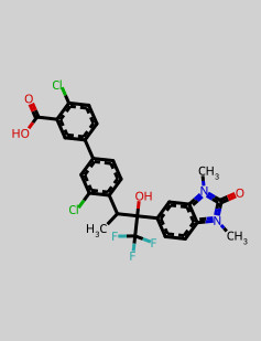 CC(c1ccc(-c2ccc(Cl)c(C(=O)O)c2)cc1Cl)C(O)(c1ccc2c(c1)n(C)c(=O)n2C)C(F)(F)F